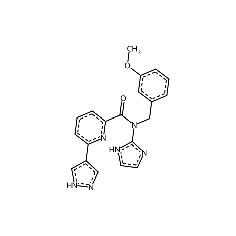 COc1cccc(CN(C(=O)c2cccc(-c3cn[nH]c3)n2)c2ncc[nH]2)c1